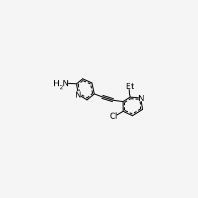 CCc1nccc(Cl)c1C#Cc1ccc(N)nc1